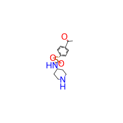 CC(=O)c1ccc(S(=O)(=O)NC2CCNCC2)cc1